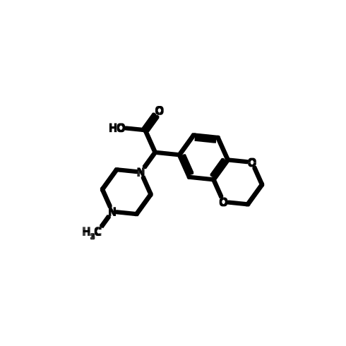 CN1CCN(C(C(=O)O)c2ccc3c(c2)OCCO3)CC1